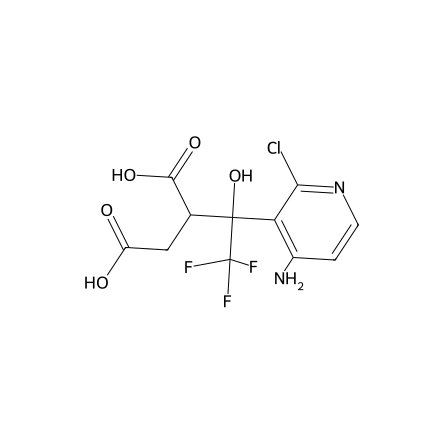 Nc1ccnc(Cl)c1C(O)(C(CC(=O)O)C(=O)O)C(F)(F)F